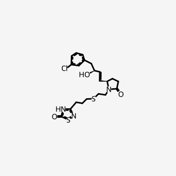 O=C1CC[C@H](/C=C/[C@@H](O)Cc2cccc(Cl)c2)N1CCSCCCc1nsc(=O)[nH]1